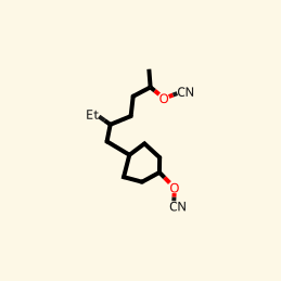 CCC(CCC(C)OC#N)CC1CCC(OC#N)CC1